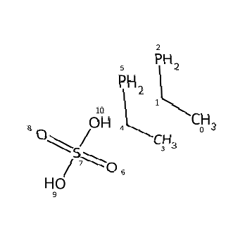 CCP.CCP.O=S(=O)(O)O